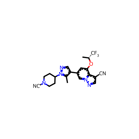 Cc1c(-c2cc(O[C@H](C)C(F)(F)F)c3c(C#N)cnn3c2)cnn1C1CCN(C#N)CC1